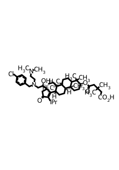 CC(C)C1=C2[C@H]3CC[C@@H]4[C@@]5(C)CC[C@H](OC(=O)CC(C)(C)CC(=O)O)C(C)(C)C5CC[C@@]4(C)[C@]3(C)CC[C@@]2([C@H](O)CN(CCN(C)C)Cc2ccc(Cl)cc2)CC1=O